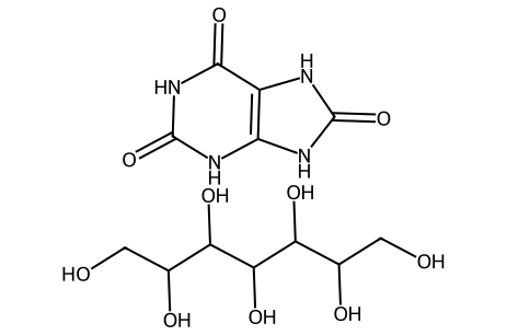 O=c1[nH]c(=O)c2[nH]c(=O)[nH]c2[nH]1.OCC(O)C(O)C(O)C(O)C(O)CO